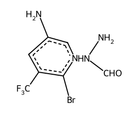 NNC=O.Nc1cnc(Br)c(C(F)(F)F)c1